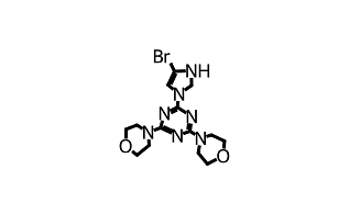 BrC1=CN(c2nc(N3CCOCC3)nc(N3CCOCC3)n2)CN1